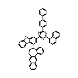 c1ccc(-c2ccc(-c3nc(-c4cc(C5CCc6cc7ccccc7cc6-c6ccccc65)c5c(c4)oc4ccccc45)nc(-c4cccc5ccccc45)n3)cc2)cc1